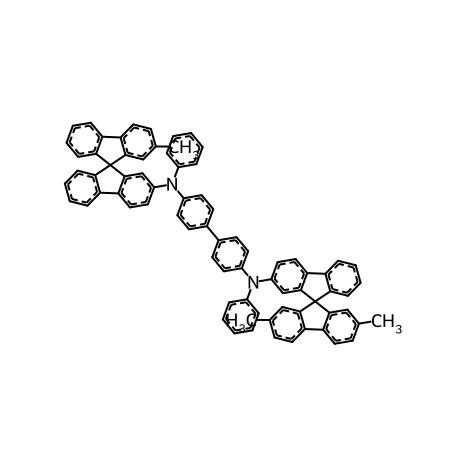 Cc1ccc2c(c1)C1(c3ccccc3-2)c2ccccc2-c2ccc(N(c3ccccc3)c3ccc(-c4ccc(N(c5ccccc5)c5ccc6c(c5)C5(c7ccccc7-6)c6cc(C)ccc6-c6ccc(C)cc65)cc4)cc3)cc21